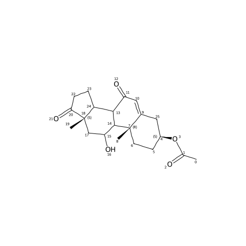 CC(=O)O[C@H]1CC[C@@]2(C)C(=CC(=O)C3C2C(O)C[C@]2(C)C(=O)CCC32)C1